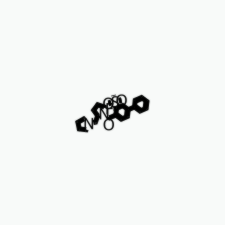 CS(=O)(=O)C1(F)CC(c2ccccc2)=CC=C1C(=O)N1CCCC1CN1CCCC1